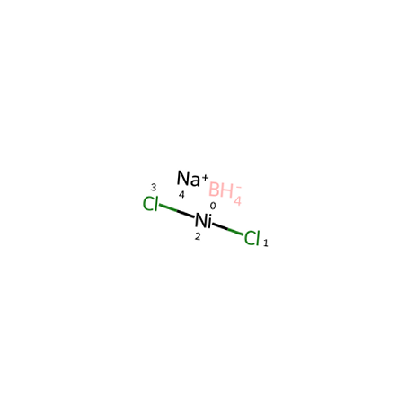 [BH4-].[Cl][Ni][Cl].[Na+]